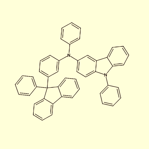 c1ccc(N(c2cccc(C3(c4ccccc4)c4ccccc4-c4ccccc43)c2)c2ccc3c(c2)c2ccccc2n3-c2ccccc2)cc1